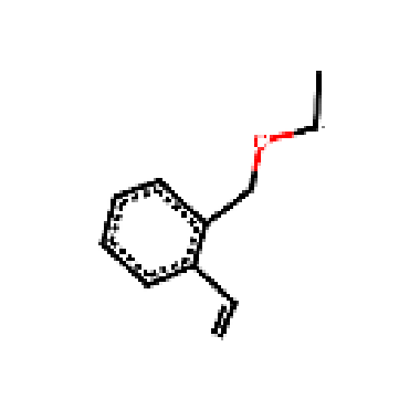 C=Cc1ccccc1CO[CH]C